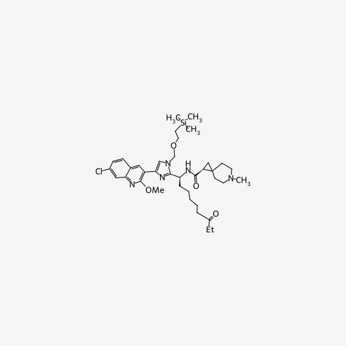 CCC(=O)CCCCC[C@H](NC(=O)[C@H]1CC12CCN(C)CC2)c1nc(-c2cc3ccc(Cl)cc3nc2OC)cn1COCC[Si](C)(C)C